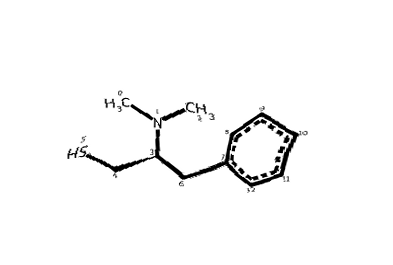 CN(C)[C@H](CS)Cc1ccccc1